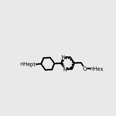 CCCCCCCC1CCC(c2ncc(COCCCCCC)cn2)CC1